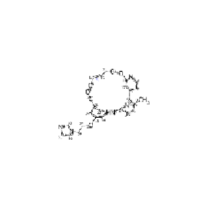 Cc1cnc2nc1-c1ccnc(c1)OCC/C=C/COCc1cc(cc(OCCn3ccnc3)c1)N2